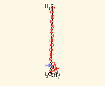 COCCOCCOCCOCCOCCOCCOCCOCCOCCOCCOCCOCCC(=O)NC(CC(=O)OC(C)(C)C)C(=O)O